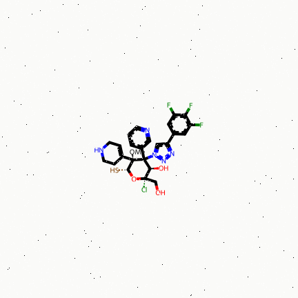 CO[C@@]1(C2=CCNCC2)[C@@H](S)O[C@](Cl)(CO)[C@H](O)C1(c1cccnc1)n1cc(-c2cc(F)c(F)c(F)c2)nn1